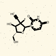 C#CC1(F)C(O)[C@@H](CO)OC1n1ccc(=O)[nH]c1=O